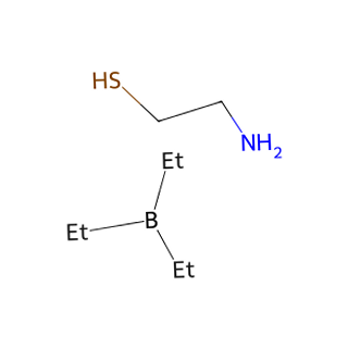 CCB(CC)CC.NCCS